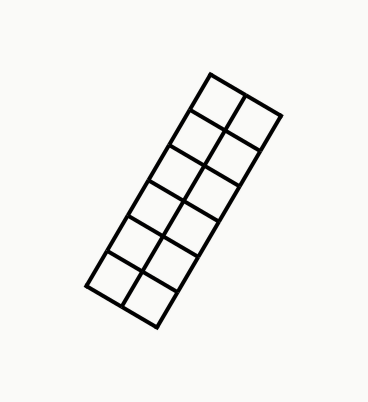 C1C2CC3C4C5C6C7CC8CC9C%10C%11C%12C1C23C%124C%115C%106C897